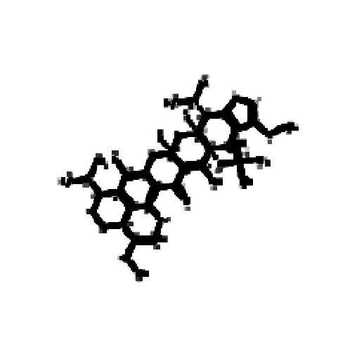 CCCCOc1noc2c1C(=O)[C@@]1(O[Si](C)(C)C(C)(C)C)C(O)=C3C(=O)c4c(c(F)c5c(c4OCCCC)N(C(=O)OC(C)(C)C)CCC5N(C)C)C[C@H]3C[C@H]1[C@@H]2N(C)CC